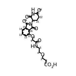 O=C(O)CCOCCNC(=O)COc1cccc2c1C(=O)N(C1CCC(=O)NC1=O)C2=O